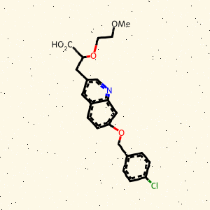 COCCOC(Cc1cnc2cc(OCc3ccc(Cl)cc3)ccc2c1)C(=O)O